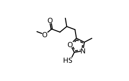 COC(=O)CC(C)Cc1oc(S)nc1C